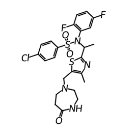 Cc1nc(C(C)N(c2cc(F)ccc2F)S(=O)(=O)c2ccc(Cl)cc2)sc1CN1CCNC(=O)CC1